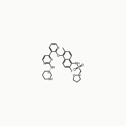 Cc1ccc2c(NS(=O)(=O)C[C@H]3CCCO3)c(F)ccc2c1Oc1ncccc1-c1ccnc(N[C@H]2CCCNC2)n1